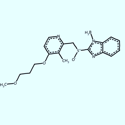 Bn1c([S+]([O-])Cc2nccc(OCCCOC)c2C)nc2ccccc21